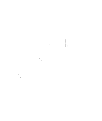 O=c1[nH]c2cccccc-2c1C1=Nc2cccnc2C=CC1